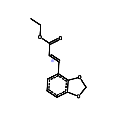 CCOC(=O)/C=C/c1cccc2c1OCO2